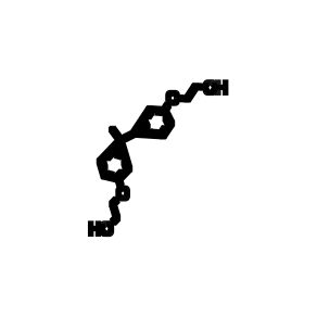 CC1(C2c3ccc(OCCO)cc32)c2ccc(OCCO)cc21